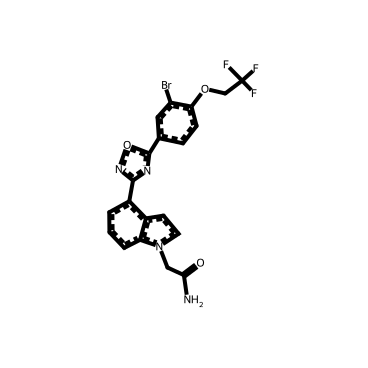 NC(=O)Cn1ccc2c(-c3noc(-c4ccc(OCC(F)(F)F)c(Br)c4)n3)cccc21